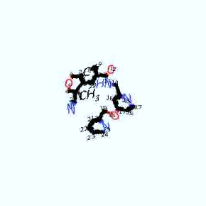 C[C@@]1(C#N)COCc2ccc(C(=O)NCc3cc(OCc4ccccn4)ccn3)cc21